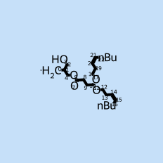 [CH2]C(CO)COC(=O)CCC(OCC/C=C\CCCC)OCC/C=C\CCCC